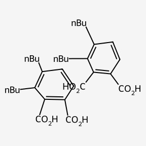 CCCCc1ccc(C(=O)O)c(C(=O)O)c1CCCC.CCCCc1ccc(C(=O)O)c(C(=O)O)c1CCCC